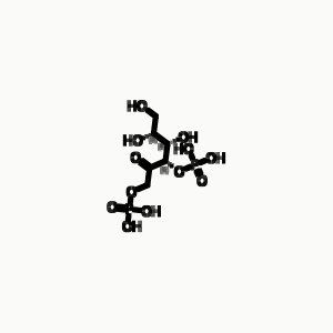 O=C(COP(=O)(O)O)[C@@H](OP(=O)(O)O)[C@@H](O)[C@H](O)CO